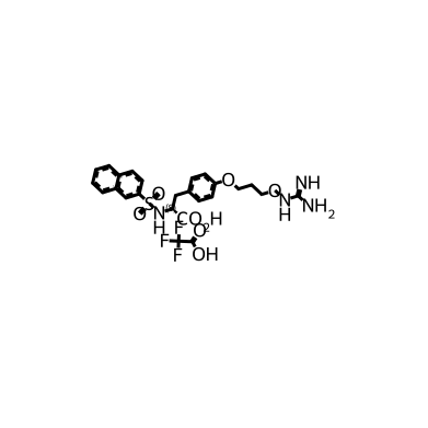 N=C(N)NOCCCOc1ccc(C[C@H](NS(=O)(=O)c2ccc3ccccc3c2)C(=O)O)cc1.O=C(O)C(F)(F)F